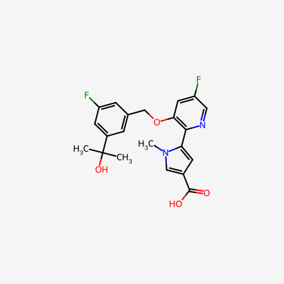 Cn1cc(C(=O)O)cc1-c1ncc(F)cc1OCc1cc(F)cc(C(C)(C)O)c1